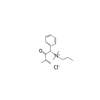 C=C(C)C(=O)C(c1ccccc1)[N+](C)(C)CCC.[Cl-]